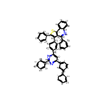 c1ccc(-c2cccc(-c3cc(-c4ccc(-c5c(-c6ccccc6)sc6c5c(-c5ccccc5)nc5ccccc56)cc4)nc(-c4ccccc4)n3)c2)cc1